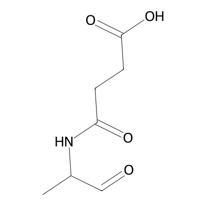 CC(C=O)NC(=O)CCC(=O)O